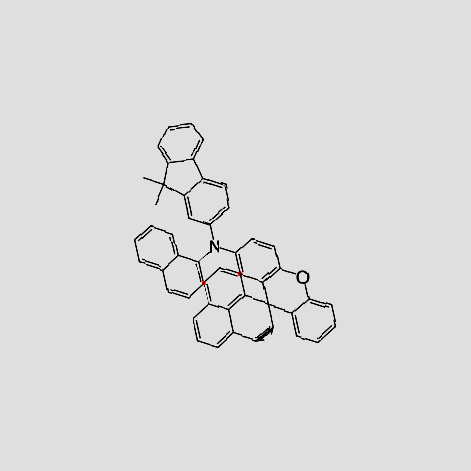 CC1(C)c2ccccc2-c2ccc(N(c3ccc4c(c3)C3(c5ccccc5O4)c4ccccc4-c4cccc5cccc3c45)c3cccc4ccccc34)cc21